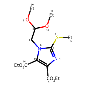 CCOC(=O)c1nc(SCC)n(CC(OCC)OCC)c1C(=O)OCC